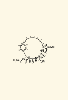 COC(=O)[C@@H]1CSCCCCOc2ccc(cc2)C[C@H](BOCN)C(=O)N[C@@H](CC(C)C)C(=O)N1